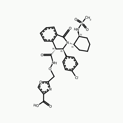 CS(=O)(=O)N[C@H]1CCCC[C@@H]1N1C(=O)c2ccccc2[C@@H](C(=O)NOCc2nc(C(=O)O)co2)[C@@H]1c1ccc(Cl)cc1